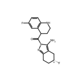 Nc1c2c(nn1C(=O)C1CCNc3ccc(F)cc31)CC[C@@H](F)C2